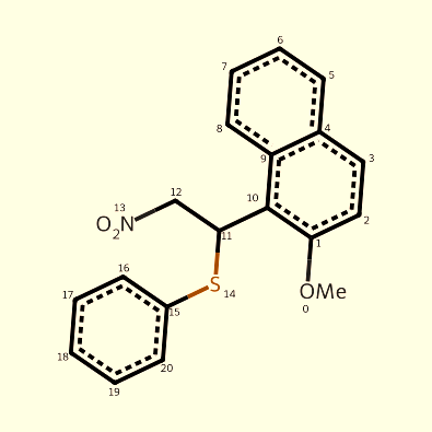 COc1ccc2ccccc2c1C(C[N+](=O)[O-])Sc1ccccc1